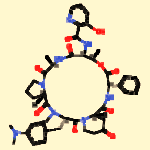 C[C@H]1NC(=O)[C@@H](NC(=O)c2ncccc2O)[C@@H](C)OC(=O)[C@H](c2ccccc2)NC(=O)[C@@H]2CC(=O)CCN2C(=O)[C@H](Cc2ccc(N(C)C)cc2)N(C)C(=O)[C@@H]2CCCN2C1=O